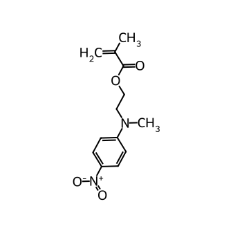 C=C(C)C(=O)OCCN(C)c1ccc([N+](=O)[O-])cc1